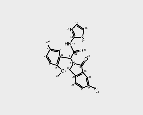 COc1ccc(F)cc1C(C(=O)Nc1nccs1)N1Cc2ccc(Br)cc2C1=O